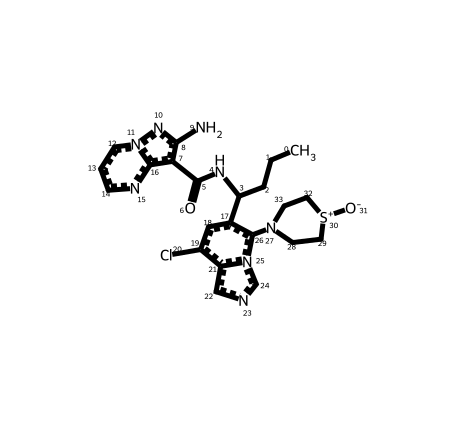 CCCC(NC(=O)c1c(N)nn2cccnc12)c1cc(Cl)c2cncn2c1N1CC[S+]([O-])CC1